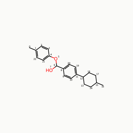 Cc1ccc(OC(O)c2ccc(C3CCC(C)CC3)cc2)cc1